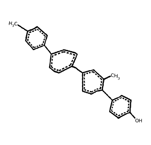 Cc1ccc(-c2ccc(-c3ccc(-c4ccc(O)cc4)c(C)c3)cc2)cc1